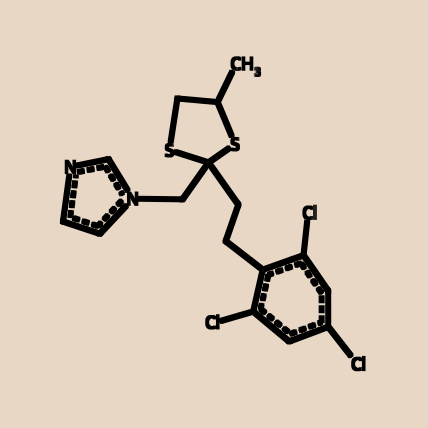 CC1CSC(CCc2c(Cl)cc(Cl)cc2Cl)(Cn2ccnc2)S1